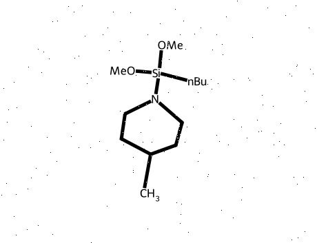 CCCC[Si](OC)(OC)N1CCC(C)CC1